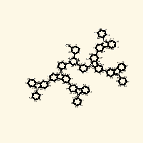 Clc1cccc(-c2nc(-c3cccc(-n4c5ccc(-c6ccc7c(c6)c6ccccc6n7-c6ccccc6)cc5c5cc(-c6ccc7c(c6)c6ccccc6n7-c6ccccc6)ccc54)c3)cc(-c3cccc(-n4c5ccc(-c6ccc7c(c6)c6ccccc6n7-c6ccccc6)cc5c5cc(-c6ccc7c(c6)c6ccccc6n7-c6ccccc6)ccc54)c3)n2)c1